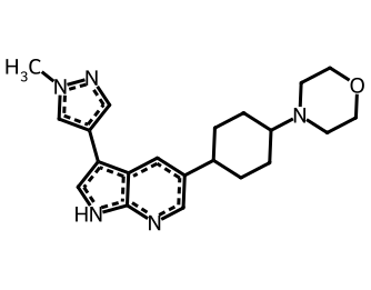 Cn1cc(-c2c[nH]c3ncc(C4CCC(N5CCOCC5)CC4)cc23)cn1